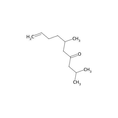 C=CCCC(C)CC(=O)CC(C)C